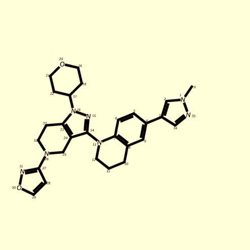 Cn1cc(-c2ccc3c(c2)CCCN3c2nn(C3CCOCC3)c3c2CN(c2ccon2)CC3)cn1